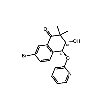 CC1(C)C(=O)c2cc(Br)ccc2[C@H](Oc2ccccn2)[C@H]1O